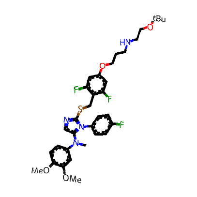 COc1ccc(N(C)c2cnc(SCc3c(F)cc(OCCCNCCOC(C)(C)C)cc3F)n2-c2ccc(F)cc2)cc1OC